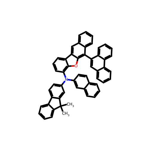 CC1(C)c2ccccc2-c2ccc(N(c3ccc4ccccc4c3)c3cccc4c3oc3c(-c5cc6ccccc6c6ccccc56)c5ccccc5cc34)cc21